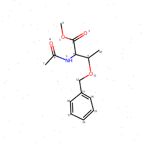 COC(=O)C(NC(C)=O)C(C)OCc1ccccc1